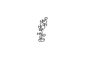 CN1C(=O)CC[C@]2(C)[C@H]3CC[C@]4(C)C(CNC(=O)OC56CC7CC(CC(C7)C5)C6)CC[C@H]4[C@@H]3CC[C@@H]12